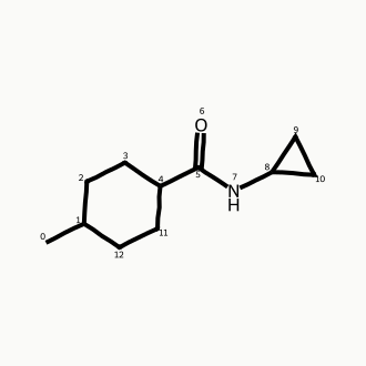 CC1CCC(C(=O)NC2CC2)CC1